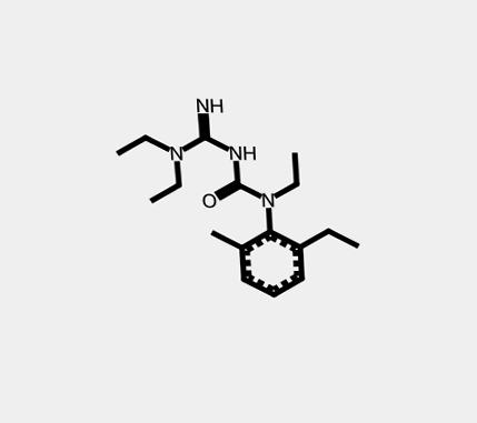 CCc1cccc(C)c1N(CC)C(=O)NC(=N)N(CC)CC